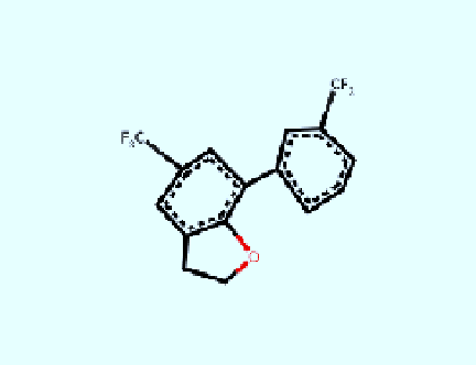 FC(F)(F)c1cccc(-c2cc(C(F)(F)F)cc3c2O[CH]C3)c1